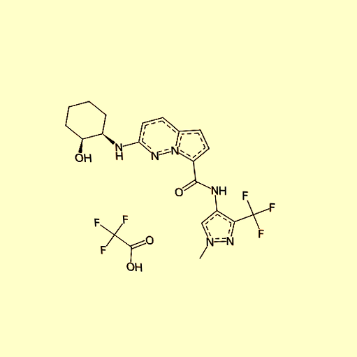 Cn1cc(NC(=O)c2ccc3ccc(N[C@@H]4CCCC[C@@H]4O)nn23)c(C(F)(F)F)n1.O=C(O)C(F)(F)F